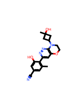 Cc1cc(C#N)cc(O)c1-c1cc2c(nn1)N(C1CC(C)(O)C1)CCO2